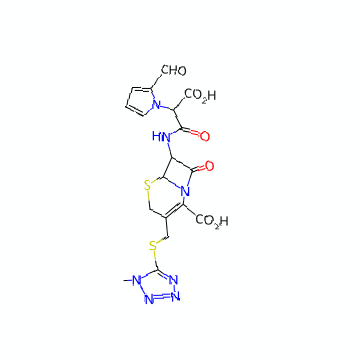 Cn1nnnc1SCC1=C(C(=O)O)N2C(=O)C(NC(=O)C(C(=O)O)n3cccc3C=O)C2SC1